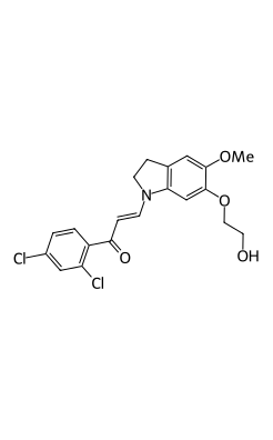 COc1cc2c(cc1OCCO)N(/C=C/C(=O)c1ccc(Cl)cc1Cl)CC2